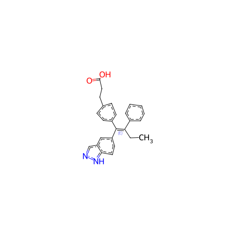 CC/C(=C(/c1ccc(CCC(=O)O)cc1)c1ccc2[nH]ncc2c1)c1ccccc1